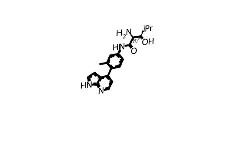 Cc1cc(NC(=O)[C@@H](N)[C@H](O)C(C)C)ccc1-c1ccnc2[nH]ccc12